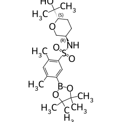 Cc1cc(C)c(S(=O)(=O)N[C@@H]2CC[C@@H](C(C)(C)O)OC2)cc1B1OC(C)(C)C(C)(C)O1